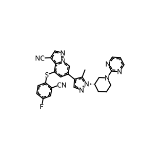 Cc1c(-c2cc(Sc3ccc(F)cc3C#N)c3c(C#N)cnn3c2)cnn1[C@H]1CCCN(c2ncccn2)C1